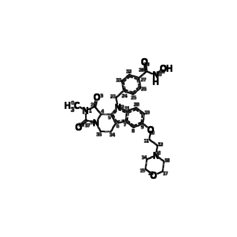 CN1C(=O)C2c3c(c4cc(OCCN5CCOCC5)ccc4n3Cc3ccc(C(=O)NO)cc3)CCN2C1=O